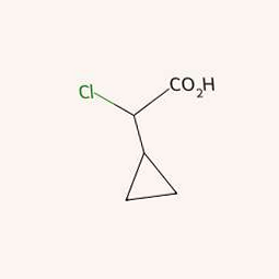 O=C(O)C(Cl)C1CC1